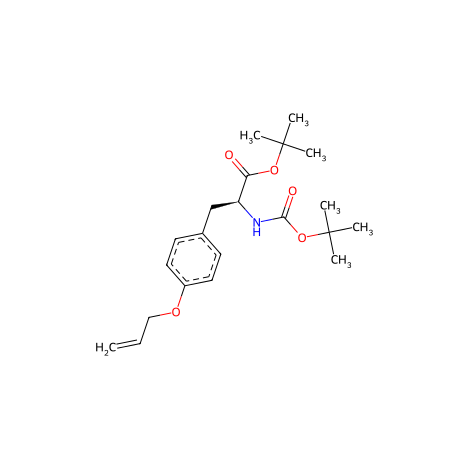 C=CCOc1ccc(C[C@H](NC(=O)OC(C)(C)C)C(=O)OC(C)(C)C)cc1